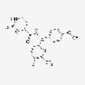 C[C@@H]1C(=O)NCCN1C(=O)N[C@H](c1ccc(OC(F)(F)F)cc1)c1ccc(F)c(C(F)(F)F)n1